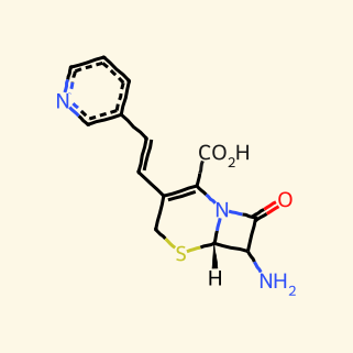 NC1C(=O)N2C(C(=O)O)=C(C=Cc3cccnc3)CS[C@@H]12